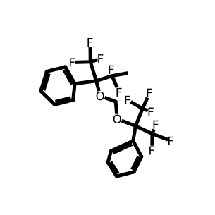 CC(F)(F)C(OCOC(c1ccccc1)(C(F)(F)F)C(F)(F)F)(c1ccccc1)C(F)(F)F